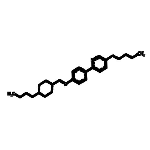 CCCCCc1ccc(-c2ccc(OCC3CCC(CCCC)CC3)cc2)nc1